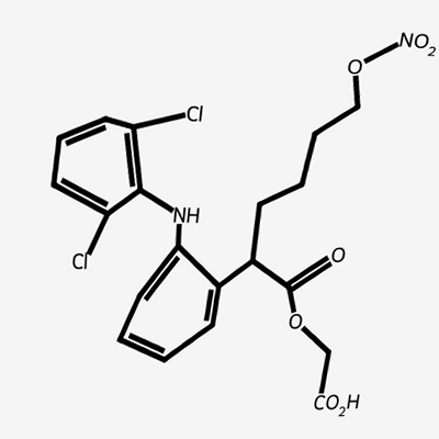 O=C(O)COC(=O)C(CCCCO[N+](=O)[O-])c1ccccc1Nc1c(Cl)cccc1Cl